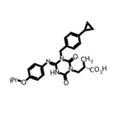 CC(C)Oc1ccc(/N=c2\[nH]c(=O)n(C[C@H](C)C(=O)O)c(=O)n2Cc2ccc(C3CC3)cc2)cc1